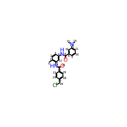 Cc1ccc(NC(=O)c2cccc(N(C)C)c2)cc1NC(=O)c1ccc(CCl)cc1